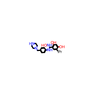 CC(C)c1cc([C@@H](NO)Nc2ccc(CN3CCNCC3)cc2)c(O)cc1O